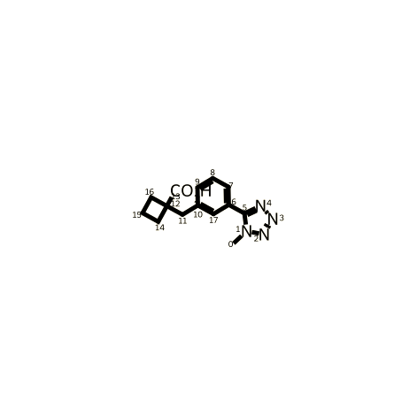 Cn1nnnc1-c1cccc(CC2(C(=O)O)CCC2)c1